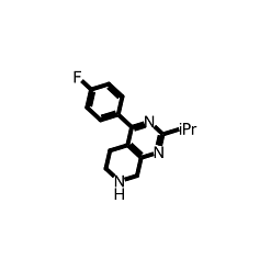 CC(C)c1nc2c(c(-c3ccc(F)cc3)n1)CCNC2